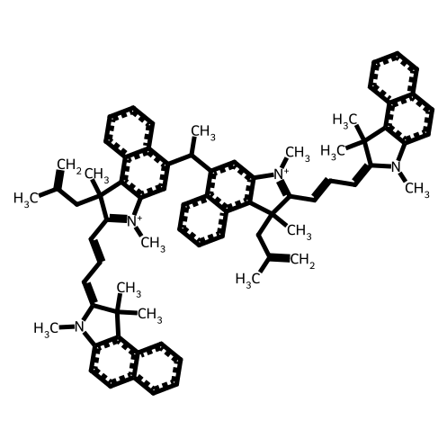 C=C(C)CC1(C)C(/C=C/C=C2/N(C)c3ccc4ccccc4c3C2(C)C)=[N+](C)c2cc(C(C)c3cc4c(c5ccccc35)C(C)(CC(=C)C)C(/C=C/C=C3/N(C)c5ccc6ccccc6c5C3(C)C)=[N+]4C)c3ccccc3c21